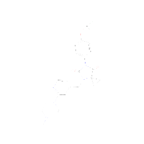 CN1CCN(c2cc(CN3C(=O)N(c4ccc(OC(F)(F)F)cc4)C(=O)C34CC4)ccn2)CC1